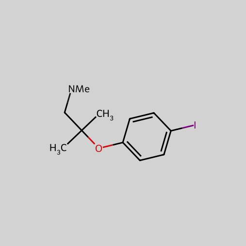 CNCC(C)(C)Oc1ccc(I)cc1